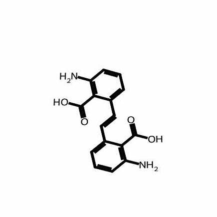 Nc1cccc(/C=C/c2cccc(N)c2C(=O)O)c1C(=O)O